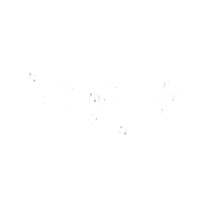 N#CSc1ccc(NC(=O)C(C#N)C(=O)c2ccc(C(F)(F)F)cc2)cc1